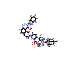 CC12CC3(C)CC(C)(C1)CC(Cn1cc(-c4ccc(N5CCc6cccc(C(=O)Nc7nc8ccccc8s7)c6C5)nc4C(=O)OC(C)(C)C)cn1)(C2)C3